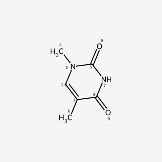 Cc1[c]n(C)c(=O)[nH]c1=O